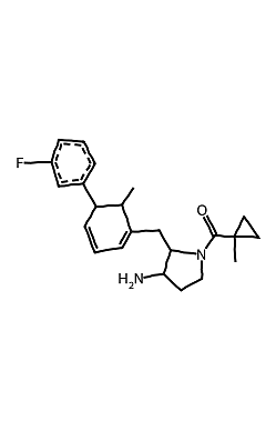 CC1C(CC2C(N)CCN2C(=O)C2(C)CC2)=CC=CC1c1cccc(F)c1